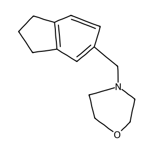 c1cc2c(cc1CN1CCOCC1)CCC2